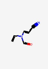 C=CN(C=O)C=CC#N